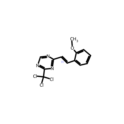 COc1ccccc1/C=C/c1ncnc(C(Cl)(Cl)Cl)n1